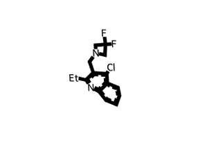 CCc1nc2ccccc2c(Cl)c1CN1CC(F)(F)C1